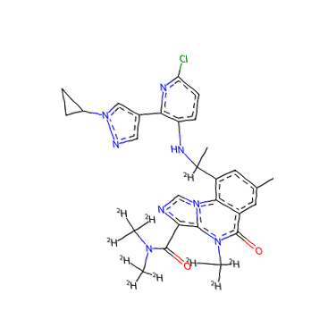 [2H]C(C)(Nc1ccc(Cl)nc1-c1cnn(C2CC2)c1)c1cc(C)cc2c(=O)n(C([2H])([2H])[2H])c3c(C(=O)N(C([2H])([2H])[2H])C([2H])([2H])[2H])ncn3c12